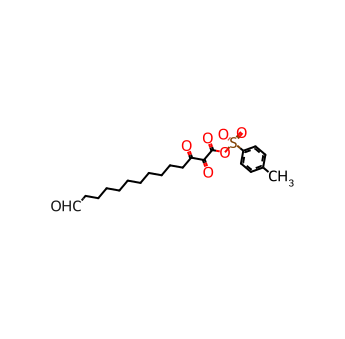 Cc1ccc(S(=O)(=O)OC(=O)C(=O)C(=O)CCCCCCCCCCC=O)cc1